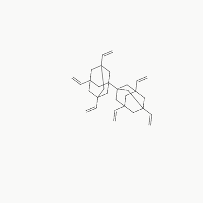 C=CC12CC3(C=C)CC(C=C)(C1)CC(C14CC5(C=C)CC(C=C)(CC(C=C)(C5)C1)C4)(C2)C3